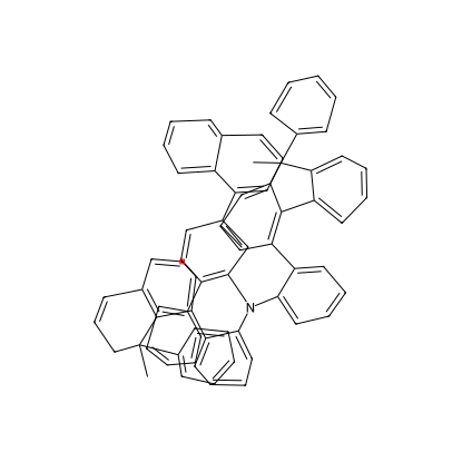 CC1(c2ccccc2)CC=Cc2cccc(-c3ccccc3N(c3cc(-c4cccc5ccccc45)ccc3-c3ccccc3)c3ccccc3-c3cccc4c3-c3ccccc3C4(C)c3ccccc3)c21